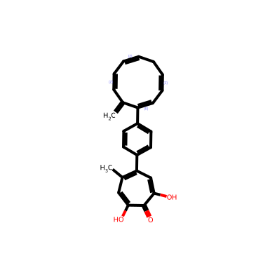 C=C1/C=C\C=C/C/C=C\C=C/1c1ccc(-c2cc(O)c(=O)c(O)cc2C)cc1